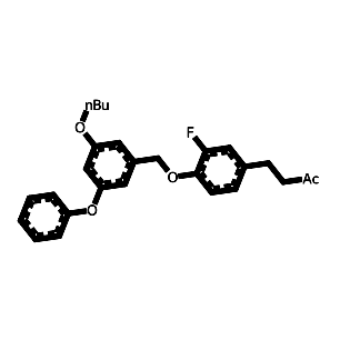 CCCCOc1cc(COc2ccc(CCC(C)=O)cc2F)cc(Oc2ccccc2)c1